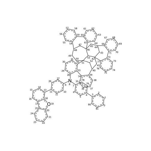 c1ccc(-c2ccc(N(c3ccc(-c4cccc5c4oc4ccccc45)cc3)c3cccc4c3-c3ccccc3C3CC56CC(CC78CC(CCC4(C3)C75)c3ccccc3-c3ccccc38)c3ccccc3-c3ccccc36)cc2)cc1